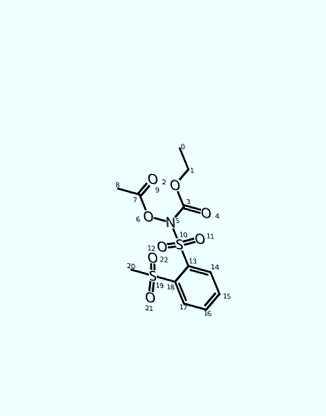 CCOC(=O)N(OC(C)=O)S(=O)(=O)c1ccccc1S(C)(=O)=O